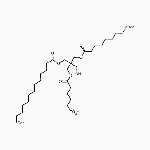 CCCCCCCCCCCCCCCCCCCCCC(=O)OCC(CO)(COC(=O)CCCCCCCCCCCCCCCCC)COC(=O)CCCCC(=O)O